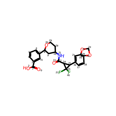 O=C(O)c1cccc(C2CC(NC(=O)C3C(c4ccc5c(c4)OCO5)C3(F)F)CCO2)c1